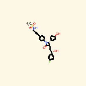 CS(=O)(=O)NCC#Cc1ccc(N2C(=O)C(CC[C@H](O)c3ccc(F)cc3)[C@H]2c2ccc(O)cc2)cc1